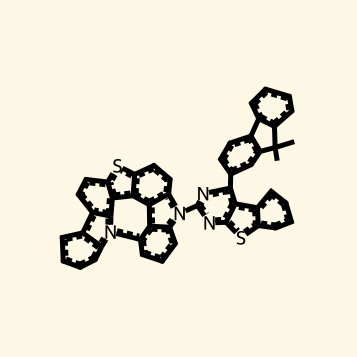 CC1(C)c2ccccc2-c2ccc(-c3nc(-n4c5ccc6sc7ccc8c9ccccc9n9c%10cccc4c%10c5c6c7c89)nc4sc5ccccc5c34)cc21